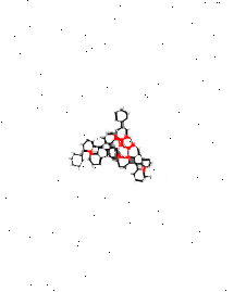 CC(C)(C)c1ccc2c(c1)C1(c3cc(C(C)(C)C)ccc3O2)c2ccccc2-c2ccc(N(c3ccc(-c4ccccc4)cc3)c3ccc4c(c3)C3(c5cc(C6CCCCC6)ccc5Oc5ccc(C6CCCCC6)cc53)c3ccccc3-4)cc21